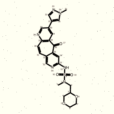 CN(CC1COCCO1)S(=O)(=O)Nc1cc2c(=O)c3cc(-c4cnn(C)c4)cnc3ccc2cn1